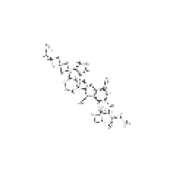 Cn1cnnc1C1(c2cccc(N3Cc4c(cc(CN(C(=O)OC(C)(C)C)C5(C)CCC5)cc4C(F)(F)F)C3=O)c2)CC2(CN(CC(F)(F)F)C2)C1